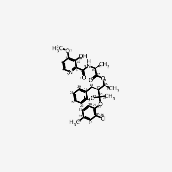 COc1ccnc(C(=O)N[C@@H](C)C(=O)O[C@@H](C)[C@H](Cc2ccccc2)C(C)(C)Oc2ccc(C)cc2Cl)c1O